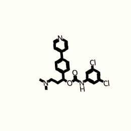 CN(C)CCC(OC(=O)Nc1cc(Cl)cc(Cl)c1)c1ccc(-c2ccncc2)cc1